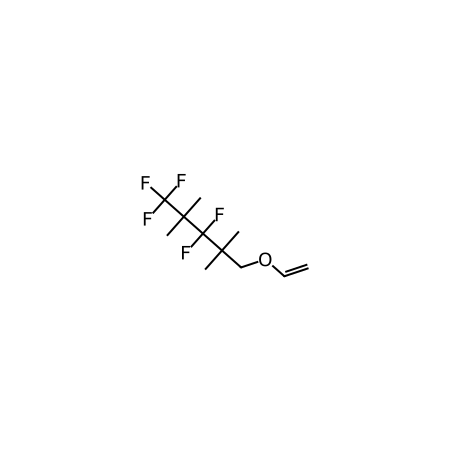 C=COCC(C)(C)C(F)(F)C(C)(C)C(F)(F)F